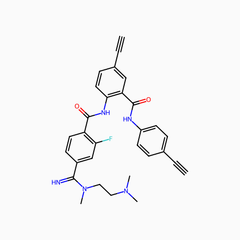 C#Cc1ccc(NC(=O)c2cc(C#C)ccc2NC(=O)c2ccc(C(=N)N(C)CCN(C)C)cc2F)cc1